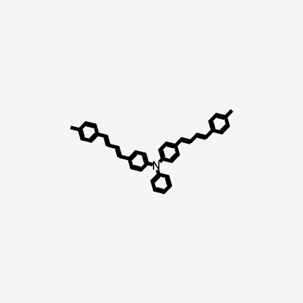 Cc1ccc(C=CC=Cc2ccc(N(c3ccccc3)c3ccc(C=CC=Cc4ccc(C)cc4)cc3)cc2)cc1